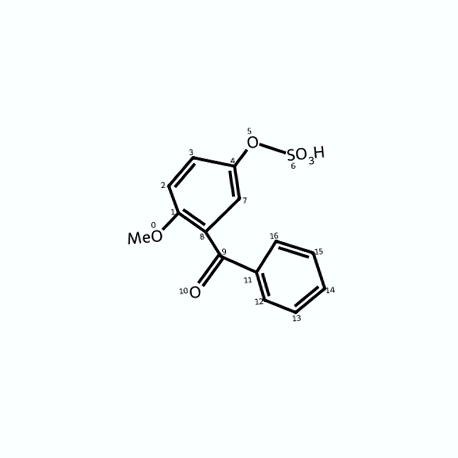 COc1ccc(OS(=O)(=O)O)cc1C(=O)c1ccccc1